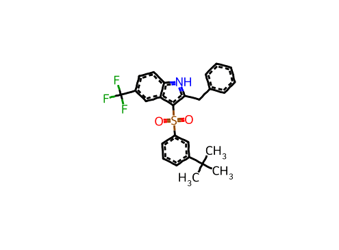 CC(C)(C)c1cccc(S(=O)(=O)c2c(Cc3ccccc3)[nH]c3ccc(C(F)(F)F)cc23)c1